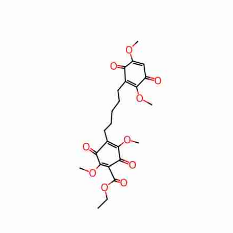 CCOC(=O)C1=C(OC)C(=O)C(CCCCCC2=C(OC)C(=O)C=C(OC)C2=O)=C(OC)C1=O